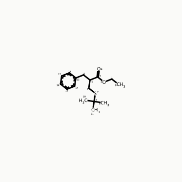 CCOC(=O)C(CSC(C)(C)C)Cc1ccccc1